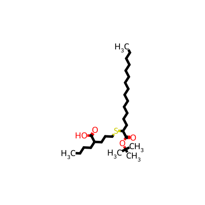 CCCCCCCCCCCCCCC(SCCCC(CCCC)C(=O)O)C(=O)OC(C)(C)C